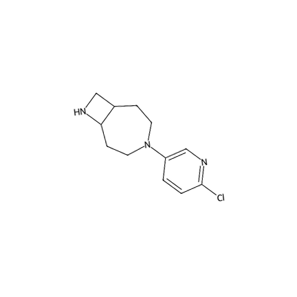 Clc1ccc(N2CCC3CNC3CC2)cn1